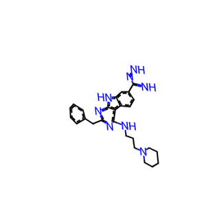 N=NC(=N)c1ccc2c(c1)[nH]c1nc(Cc3ccccc3)nc(NCCCN3CCCCC3)c12